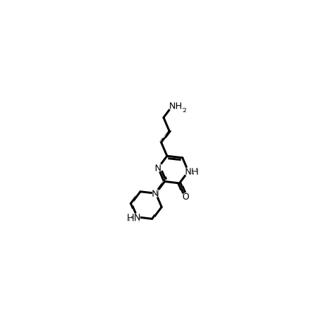 NCCCc1c[nH]c(=O)c(N2CCNCC2)n1